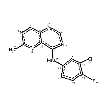 Cc1ncc2ncnc(Nc3ccc(F)c(Cl)c3)c2n1